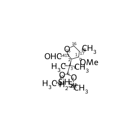 CO[C@@H]1[C@@H](C(C)(C)C(O[SiH2]C)O[SiH2]C)[C@H](C=O)OC[C@@H]1C